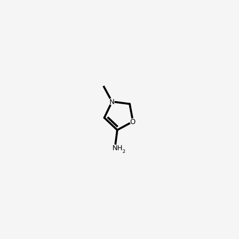 CN1C=C(N)OC1